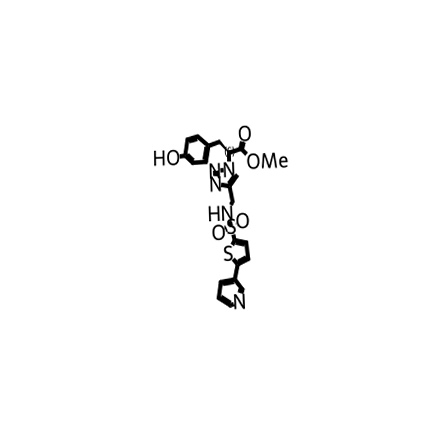 COC(=O)[C@H](Cc1ccc(O)cc1)n1cc(CNS(=O)(=O)c2ccc(-c3cccnc3)s2)nn1